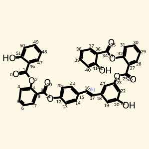 O=C(Oc1ccccc1C(=O)Oc1ccc(/C=C/c2cc(O)cc(OC(=O)c3ccccc3OC(=O)c3ccccc3O)c2)cc1)c1ccccc1O